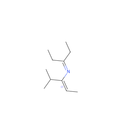 C/C=C(\N=C(CC)CC)C(C)C